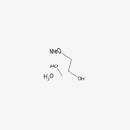 CO.COCCO.O